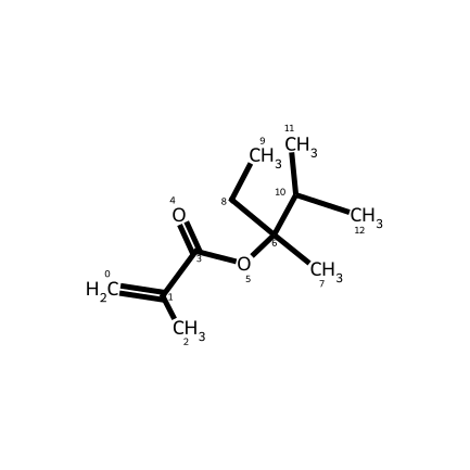 C=C(C)C(=O)OC(C)(CC)C(C)C